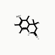 CC1=C(O)C(C)C2C(=C1C)OC(=O)CC2(C)C